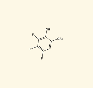 CC(=O)Oc1cc(F)c(F)c(F)c1O